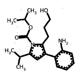 CC(C)OC(=O)n1c(C(C)C)cc(-c2ccccc2N)c1CCCO